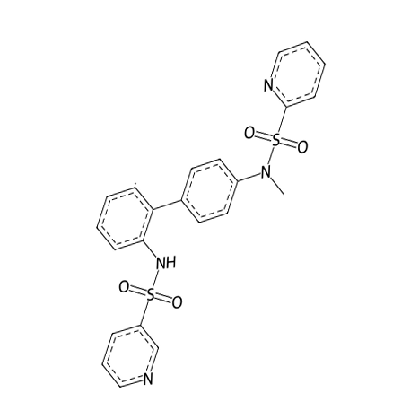 CN(c1ccc(-c2[c]cccc2NS(=O)(=O)c2cccnc2)cc1)S(=O)(=O)c1ccccn1